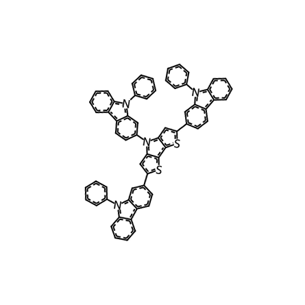 c1ccc(-n2c3ccccc3c3ccc(-c4cc5c(s4)c4sc(-c6ccc7c8ccccc8n(-c8ccccc8)c7c6)cc4n5-c4ccc5c6ccccc6n(-c6ccccc6)c5c4)cc32)cc1